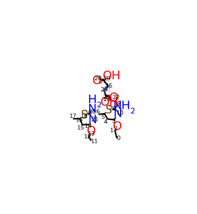 CCOC1CC(C)SC(N)=N1.CCOC1CC(C)SC(N)=N1.O=C(O)/C=C/C(=O)O